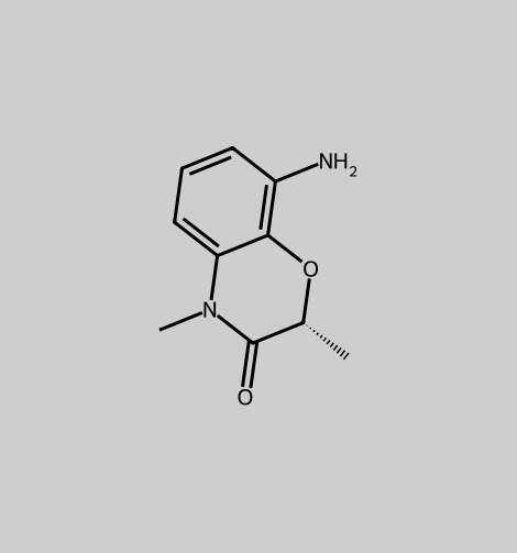 C[C@H]1Oc2c(N)cccc2N(C)C1=O